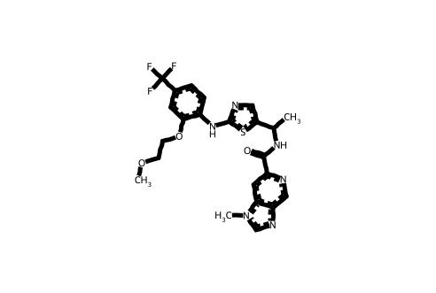 COCCOc1cc(C(F)(F)F)ccc1Nc1ncc(C(C)NC(=O)c2cc3c(cn2)ncn3C)s1